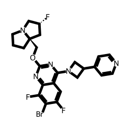 Fc1cc2c(N3CC(c4ccncc4)C3)nc(OC[C@@]34CCCN3C[C@H](F)C4)nc2c(F)c1Br